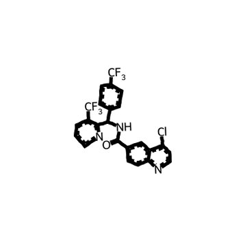 O=C(NC(c1ccc(C(F)(F)F)cc1)c1ncccc1C(F)(F)F)c1ccc2nccc(Cl)c2c1